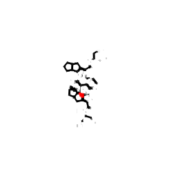 CC(C)C[C@H](CO)NC(=O)c1nn(-c2ncc[n+]([O-])c2-c2c(-n3nc(C(=O)N[C@@H](CO)CC(C)C)c4c3[C@H]3CCC[C@H]3C4)ncc[n+]2[O-])c2c1C[C@@H]1CCC[C@H]21